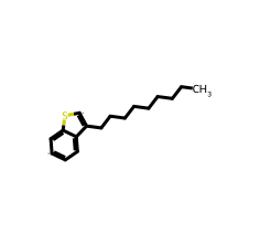 CCCCCCCCCc1[c]sc2c[c]ccc12